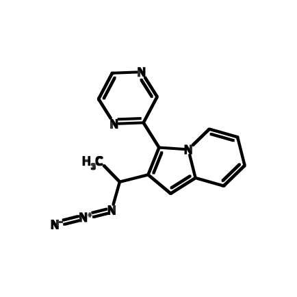 CC(N=[N+]=[N-])c1cc2ccccn2c1-c1cnccn1